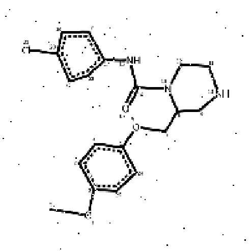 COc1ccc(OCC2CNCCN2C(=O)Nc2ccc(Cl)cc2)cc1